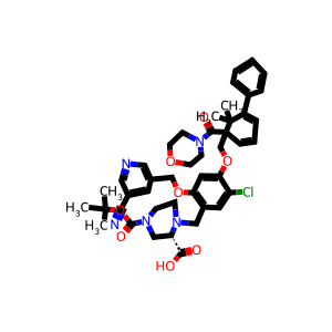 CC(C)(C)OC(=O)N1CCN(Cc2cc(Cl)c(OCC3(C(=O)N4CCOCC4)C=CC=C(c4ccccc4)C3(C)C)cc2OCc2cncc(C#N)c2)[C@H](C(=O)O)C1